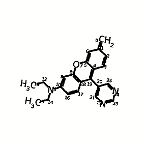 C=c1ccc2c(c1)Oc1cc(N(CC)CC)ccc1C=2c1cncnc1